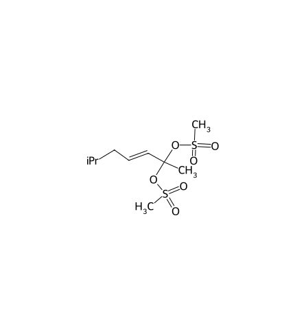 CC(C)CC=CC(C)(OS(C)(=O)=O)OS(C)(=O)=O